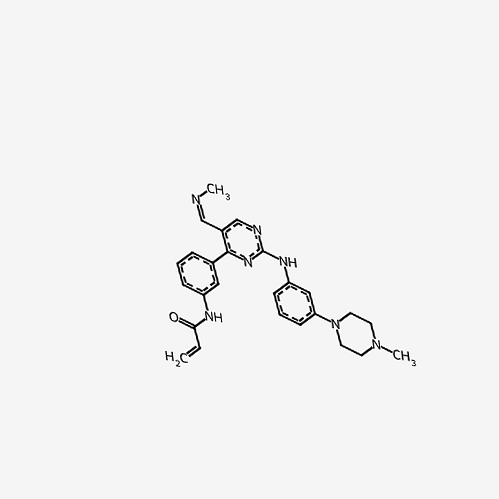 C=CC(=O)Nc1cccc(-c2nc(Nc3cccc(N4CCN(C)CC4)c3)ncc2/C=N\C)c1